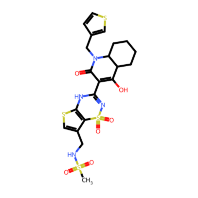 CS(=O)(=O)NCc1csc2c1S(=O)(=O)N=C(C1=C(O)C3CCCCC3N(Cc3ccsc3)C1=O)N2